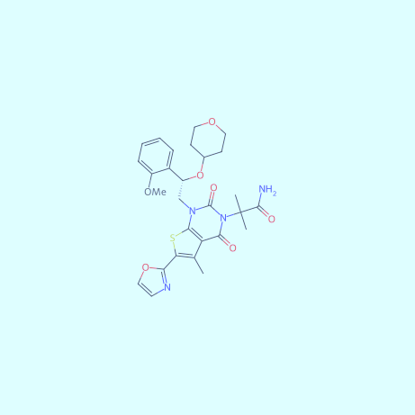 COc1ccccc1[C@@H](Cn1c(=O)n(C(C)(C)C(N)=O)c(=O)c2c(C)c(-c3ncco3)sc21)OC1CCOCC1